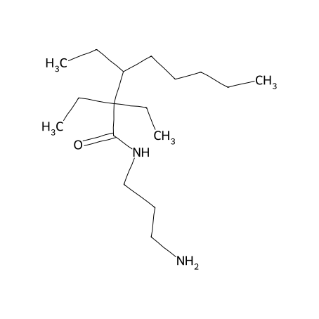 CCCCCC(CC)C(CC)(CC)C(=O)NCCCN